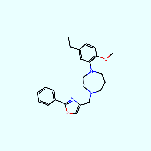 CCc1ccc(OC)c(N2CCCN(Cc3coc(-c4ccccc4)n3)CC2)c1